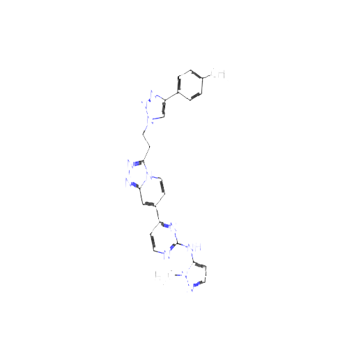 Cc1ccc(-c2cn(CCc3nnc4cc(-c5ccnc(Nc6ccnn6C)n5)ccn34)nn2)cc1